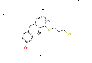 C=CC(Oc1ccc(O)cc1)C(C)[C@H](C)SCCCS